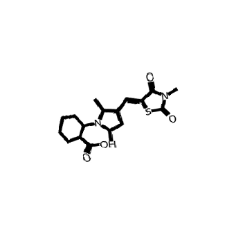 CC1CC(/C=C2\SC(=O)N(C)C2=O)C(C)N1C1CCCCC1C(=O)O